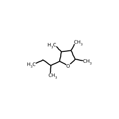 CCC(C)C1OC(C)C(C)C1C